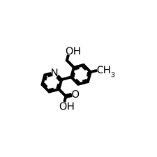 Cc1ccc(-c2ncccc2C(=O)O)c(CO)c1